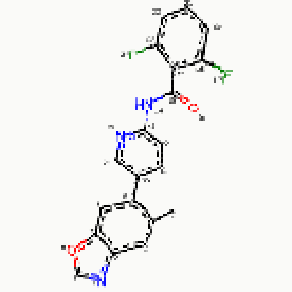 Cc1cc2ncoc2cc1-c1ccc(NC(=O)c2c(F)cccc2F)nc1